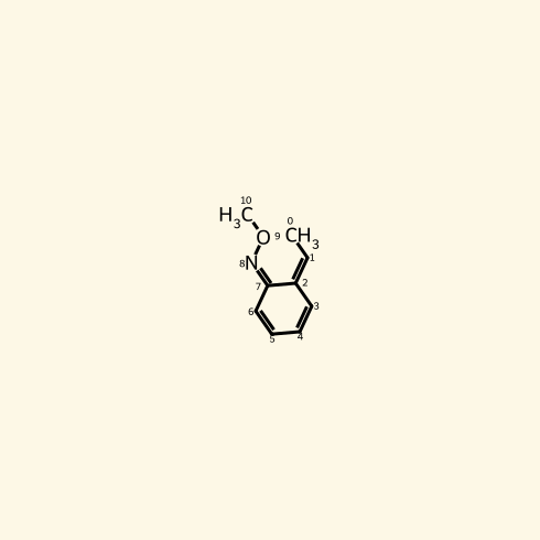 C/C=C1/C=CC=C/C1=N/OC